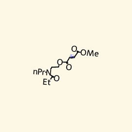 CCCN(CCOC(=O)/C=C/C(=O)OC)C(=O)CC